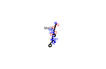 COC(=O)NC(CC/C=C/C(=O)N(C)C)C(=O)Nc1cccn(Cc2nc3c(CC4CCCCC4)ncnc3[nH]2)c1=O